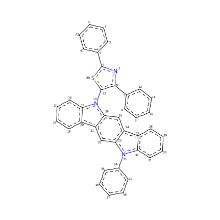 c1ccc(-c2nc(-c3ccccc3)c(-n3c4ccccc4c4cc5c(cc43)c3ccccc3n5-c3ccccc3)s2)cc1